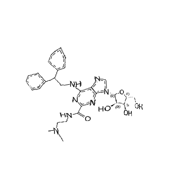 CN(C)CCNC(=O)c1nc(NCC(c2ccccc2)c2ccccc2)c2ncn([C@@H]3O[C@H](CO)[C@@H](O)[C@H]3O)c2n1